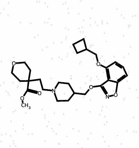 COC(=O)C1(CCN2CCC(COc3noc4cccc(OCC5CCC5)c34)CC2)CCOCC1